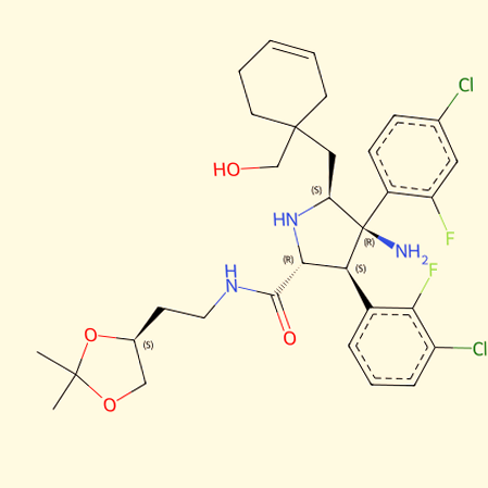 CC1(C)OC[C@H](CCNC(=O)[C@@H]2N[C@@H](CC3(CO)CC=CCC3)[C@](N)(c3ccc(Cl)cc3F)[C@H]2c2cccc(Cl)c2F)O1